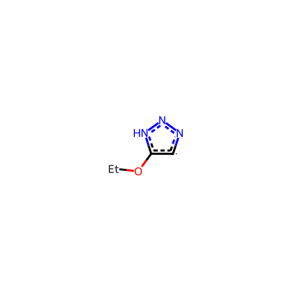 CCOc1[c]nn[nH]1